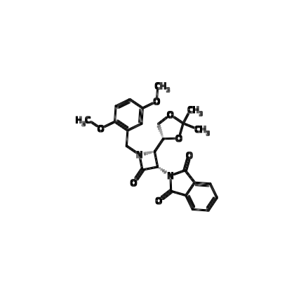 COc1ccc(OC)c(CN2C(=O)[C@@H](N3C(=O)c4ccccc4C3=O)[C@H]2[C@@H]2COC(C)(C)O2)c1